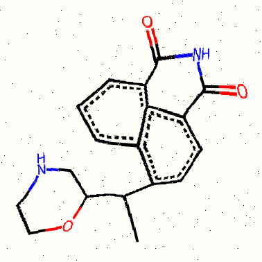 CC(c1ccc2c3c(cccc13)C(=O)NC2=O)C1CNCCO1